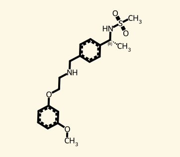 COc1cccc(OCCNCc2ccc([C@@H](C)NS(C)(=O)=O)cc2)c1